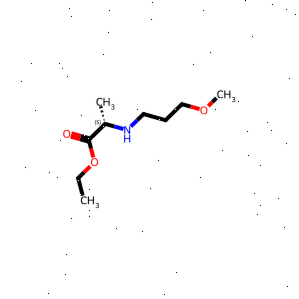 CCOC(=O)[C@H](C)NCCCOC